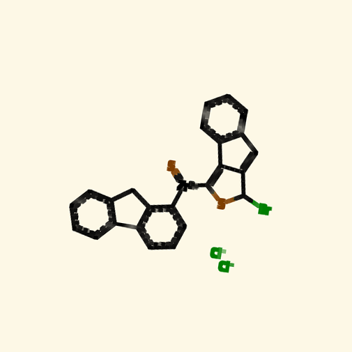 [Cl-].[Cl-].[S]=[Zr+2]([C]1=C2C(=Cc3ccccc32)C(Br)S1)[c]1cccc2c1Cc1ccccc1-2